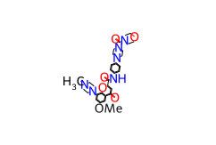 COc1cc(N2CCN(C)CC2)c2oc(C(=O)Nc3ccc(N4CCN(C(=O)N5CCOCC5)CC4)cc3)cc(=O)c2c1